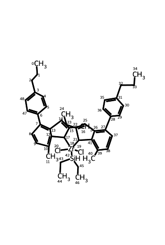 CCCc1ccc(-c2ccc(C)c3c2C=C(C)[CH]3[Zr]([Cl])([Cl])([CH]2C(CC)=Cc3c(-c4ccc(CCC)cc4)ccc(C)c32)[SiH](CC)CC)cc1